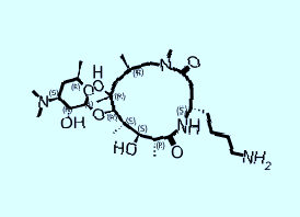 C[C@H]1CN(C)C(=O)C[C@H](CCCCN)NC(=O)[C@H](C)[C@@H](O)[C@H](C)[C@@H](O[C@@H]2O[C@H](C)C[C@H](N(C)C)[C@H]2O)[C@](C)(O)C1